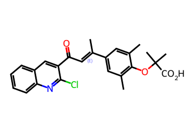 C/C(=C\C(=O)c1cc2ccccc2nc1Cl)c1cc(C)c(OC(C)(C)C(=O)O)c(C)c1